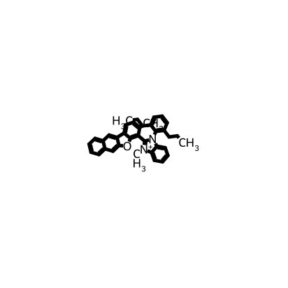 CCCc1cccc(CCC)c1-n1c(-c2c(C)ccc3c2oc2cc4ccccc4cc23)[n+](C)c2ccccc21